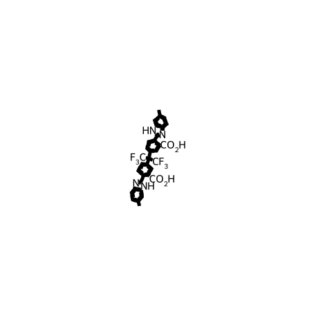 Cc1ccc2nc(-c3ccc(C(c4ccc(-c5nc6ccc(C)cc6[nH]5)c(C(=O)O)c4)(C(F)(F)F)C(F)(F)F)cc3C(=O)O)[nH]c2c1